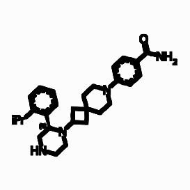 CC(C)c1ccccc1[C@@H]1CNCCN1C1CC2(CCN(c3ccc(C(N)=O)cc3)CC2)C1